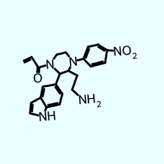 C=CC(=O)N1CCN(c2ccc([N+](=O)[O-])cc2)C(CCN)C1c1ccc2[nH]ccc2c1